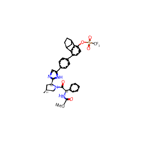 COC(=O)N[C@@H](C(=O)N1C[C@@H](C)C[C@H]1c1ncc(-c2ccc(-c3ccc(OS(=O)(=O)C(F)(F)F)c4c3C3CCC4C3)cc2)[nH]1)c1ccccc1